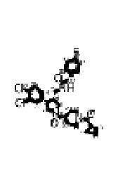 O=C(NC[C@H]1CN(C(=O)C2CCN(C(=O)C3CCC3)CC2)C[C@H]1c1ccc(Cl)c(Cl)c1)Oc1ccc(F)cc1